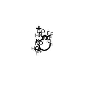 C[C@@H]1CCCCC[C@](O)(C(F)(F)F)c2nnc(o2)-c2nc(c(C(F)(F)F)cc2NC(=O)OC(C)(C)C)O1